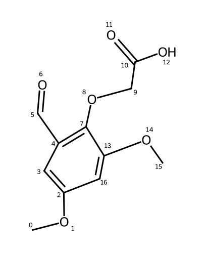 COc1cc(C=O)c(OCC(=O)O)c(OC)c1